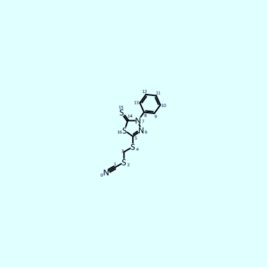 N#CSCSc1nn(-c2ccccc2)c(=S)s1